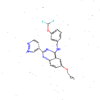 CCOc1ccc2nc(-c3ccnnc3)nc(Nc3cccc(OC(F)F)c3)c2c1